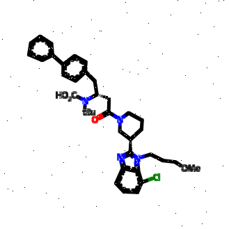 COCCCn1c([C@@H]2CCCN(C(=O)C[C@@H](Cc3ccc(-c4ccccc4)cc3)N(C(=O)O)C(C)(C)C)C2)nc2cccc(Cl)c21